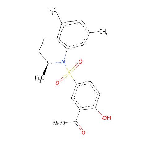 COC(=O)c1cc(S(=O)(=O)N2c3cc(C)cc(C)c3CC[C@@H]2C)ccc1O